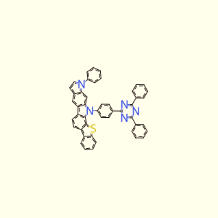 c1ccc(-c2nc(-c3ccccc3)nc(-c3ccc(-n4c5cc6c(ccn6-c6ccccc6)cc5c5ccc6c7ccccc7sc6c54)cc3)n2)cc1